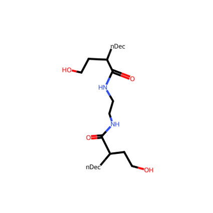 CCCCCCCCCCC(CCO)C(=O)NCCNC(=O)C(CCO)CCCCCCCCCC